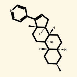 C[C@H]1CC[C@H]2[C@@H](CC[C@@H]3[C@@H]2CC[C@]2(C)C(c4ccncc4)=CC[C@@H]32)C1